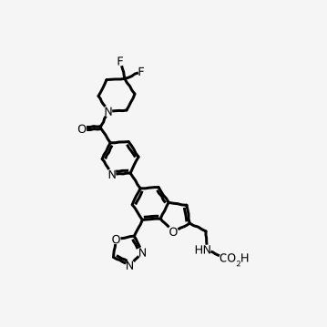 O=C(O)NCc1cc2cc(-c3ccc(C(=O)N4CCC(F)(F)CC4)cn3)cc(-c3nnco3)c2o1